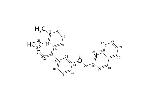 Cc1cccc(C(=S=O)c2cccc(OCc3ccc4ccccc4n3)c2)c1C(=O)O